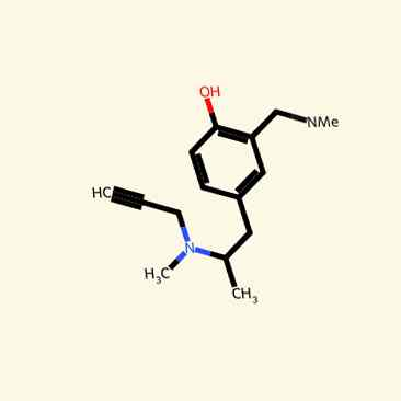 C#CCN(C)C(C)Cc1ccc(O)c(CNC)c1